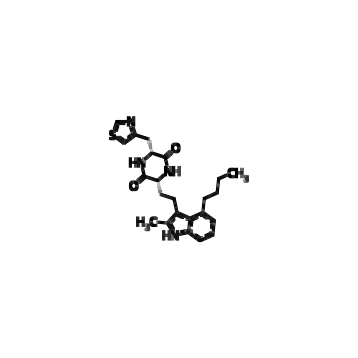 CCCCc1cccc2[nH]c(C)c(CC[C@H]3NC(=O)[C@@H](Cc4cscn4)NC3=O)c12